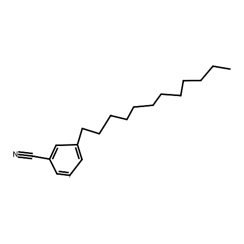 CCCCCCCCCCCCc1c[c]cc(C#N)c1